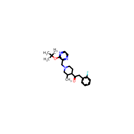 CC1CN(Cc2nccnc2OC(C)(C)C)CCC1C(=O)Cc1ccccc1F